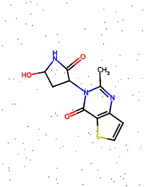 Cc1nc2ccsc2c(=O)n1C1CC(O)NC1=O